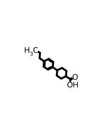 CCCc1ccc(C2CCC(C(=O)O)CC2)cc1